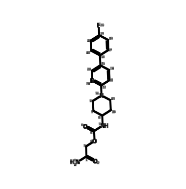 NC(=O)COC(=O)NC1CCN(c2ccc(-c3ccc(F)cc3)cn2)CC1